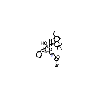 CCc1ccc2c(c1)[C@@H](NC[C@H](O)[C@H](Cc1ccccc1)NC(=O)/C=C/c1cc(Br)co1)CC1(CCC1)O2